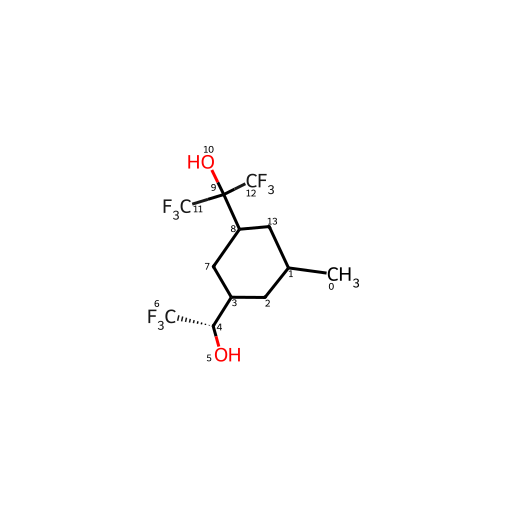 CC1CC([C@H](O)C(F)(F)F)CC(C(O)(C(F)(F)F)C(F)(F)F)C1